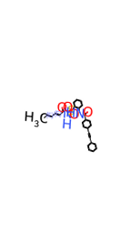 C/C=C/C=C/C(=O)NS(=O)(=O)c1ccccc1NC(=O)c1ccc(C#Cc2ccccc2)cc1